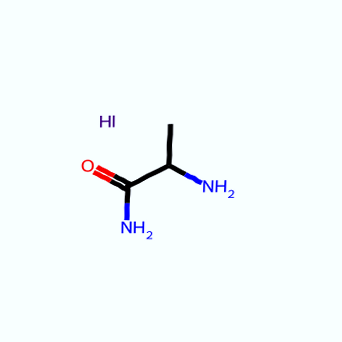 CC(N)C(N)=O.I